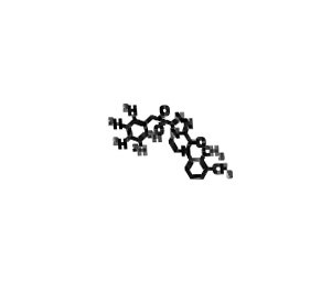 [2H]c1c([2H])c([2H])c(CS(=O)(=O)c2nnc3c(=O)n(-c4cccc(C(F)(F)F)c4C)ccn23)c([2H])c1[2H]